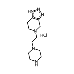 C1CN(CCN2CCc3[nH]nnc3C2)CCN1.Cl